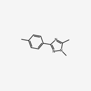 Cc1ccc(-c2nc(C)n(C)n2)cc1